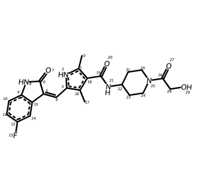 Cc1[nH]c(/C=C2\C(=O)Nc3ccc(F)cc32)c(C)c1C(=O)NC1CCN(C(=O)CO)CC1